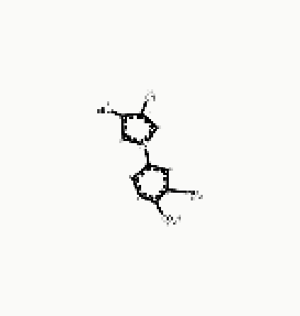 CCCCc1cn(-c2ccc(C(=O)O)c([N+](=O)[O-])c2)cc1C#N